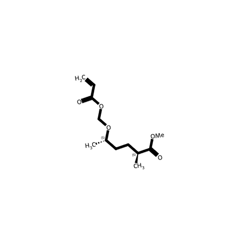 C=CC(=O)OCO[C@@H](C)CC[C@H](C)C(=O)OC